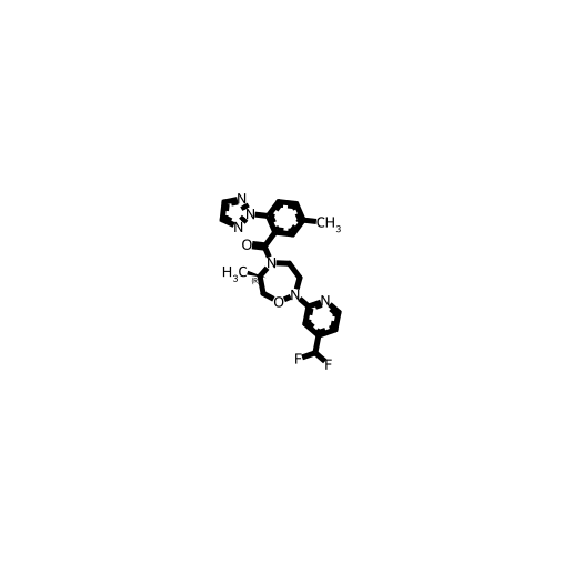 Cc1ccc(-n2nccn2)c(C(=O)N2CCN(c3cc(C(F)F)ccn3)OC[C@H]2C)c1